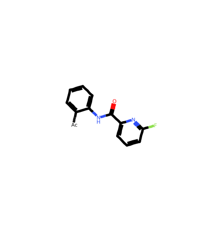 CC(=O)c1ccccc1NC(=O)c1cccc(F)n1